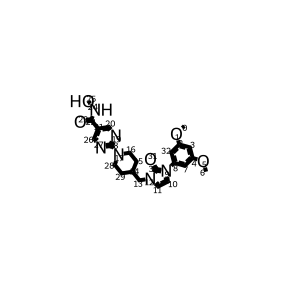 COc1cc(OC)cc(-n2ccn(CC3CCN(c4ncc(C(=O)NO)cn4)CC3)c2=O)c1